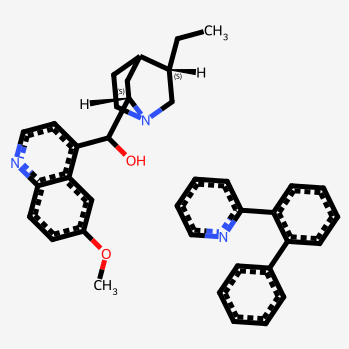 CC[C@@H]1CN2CCC1C[C@H]2C(O)c1ccnc2ccc(OC)cc12.c1ccc(-c2ccccc2-c2ccccn2)cc1